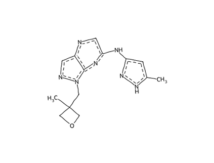 Cc1cc(Nc2cnc3cnn(CC4(C)COC4)c3n2)n[nH]1